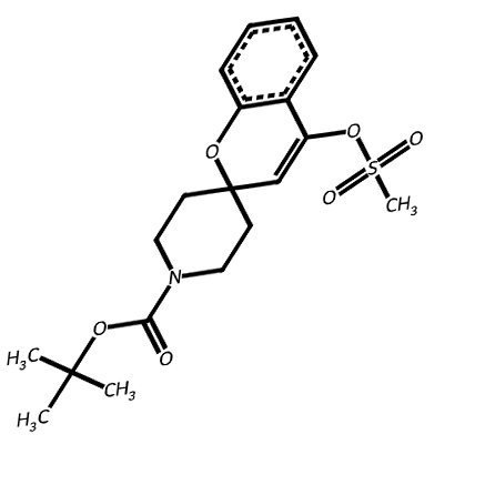 CC(C)(C)OC(=O)N1CCC2(C=C(OS(C)(=O)=O)c3ccccc3O2)CC1